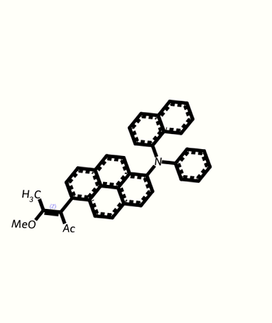 CO/C(C)=C(\C(C)=O)c1ccc2ccc3c(N(c4ccccc4)c4cccc5ccccc45)ccc4ccc1c2c43